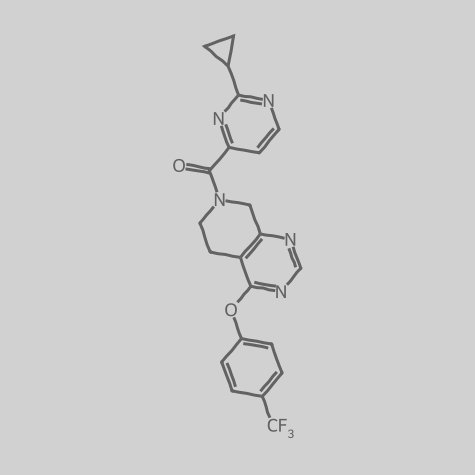 O=C(c1ccnc(C2CC2)n1)N1CCc2c(ncnc2Oc2ccc(C(F)(F)F)cc2)C1